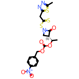 Cc1nnc(CC(=S)SN2C[C@@H](C(C)OC(=O)OCc3ccc([N+](=O)[O-])cc3)C2=O)s1